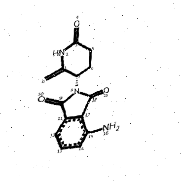 C=C1NC(=O)CC[C@@H]1N1C(=O)c2cccc(N)c2C1=O